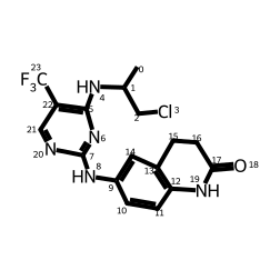 CC(CCl)Nc1nc(Nc2ccc3c(c2)CCC(=O)N3)ncc1C(F)(F)F